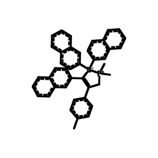 Cc1ccc(C2=C(c3ccc4ccccc4c3)[B-](c3ccc4ccccc4c3)(c3ccc4ccccc4c3)[P+](C)(C)C2)cc1